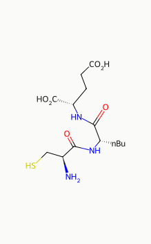 CCCC[C@H](NC(=O)[C@@H](N)CS)C(=O)N[C@@H](CCC(=O)O)C(=O)O